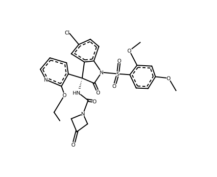 CCOc1ncccc1[C@]1(NC(=O)N2CC(=O)C2)C(=O)N(S(=O)(=O)c2ccc(OC)cc2OC)c2ccc(Cl)cc21